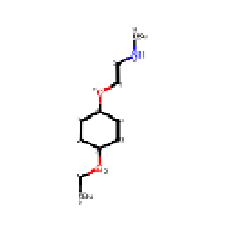 CC(C)(C)COC1CCC(OCCNC(C)(C)C)CC1